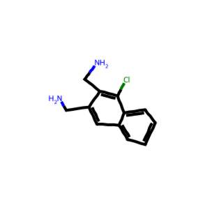 NCc1cc2ccccc2c(Cl)c1CN